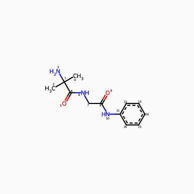 CC(C)(N)C(=O)NCC(=O)Nc1ccccc1